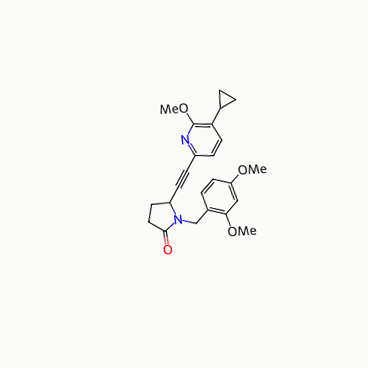 COc1ccc(CN2C(=O)CCC2C#Cc2ccc(C3CC3)c(OC)n2)c(OC)c1